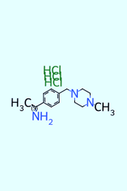 C[C@H](N)c1ccc(CN2CCN(C)CC2)cc1.Cl.Cl.Cl